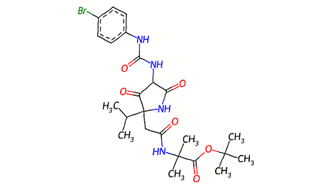 CC(C)C1(CC(=O)NC(C)(C)C(=O)OC(C)(C)C)NC(=O)C(NC(=O)Nc2ccc(Br)cc2)C1=O